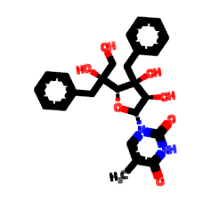 Cc1cn([C@@H]2O[C@H]([C@@](O)(CO)Cc3ccccc3)[C@](O)(Cc3ccccc3)[C@H]2O)c(=O)[nH]c1=O